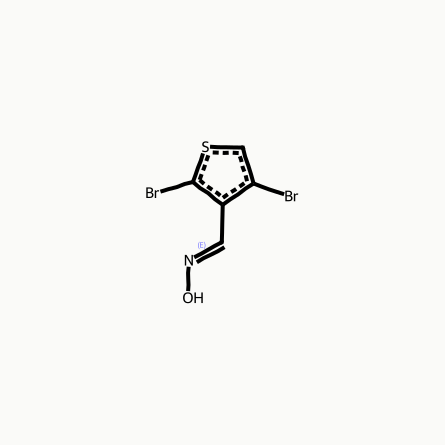 O/N=C/c1c(Br)csc1Br